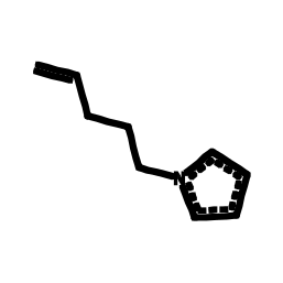 C=CCCCn1cccc1